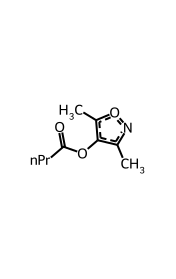 CCCC(=O)Oc1c(C)noc1C